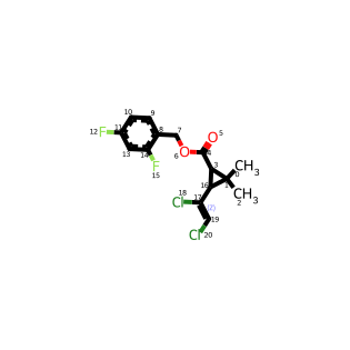 CC1(C)C(C(=O)OCc2ccc(F)cc2F)C1/C(Cl)=C/Cl